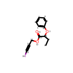 CCC(Oc1ccccc1)C(=O)OCC#CI